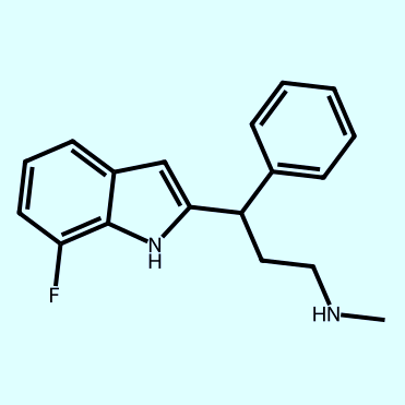 CNCCC(c1ccccc1)c1cc2cccc(F)c2[nH]1